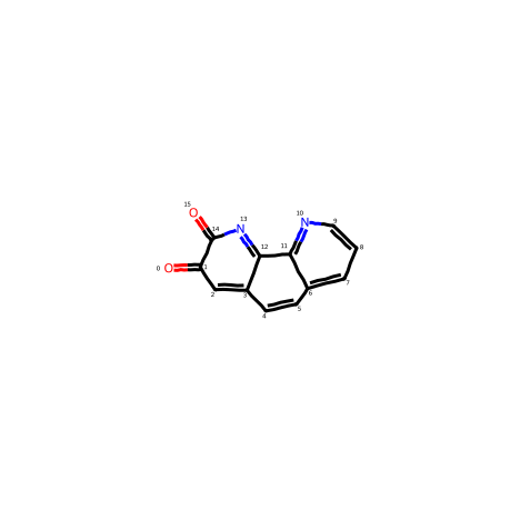 O=C1C=c2ccc3cccnc3c2=NC1=O